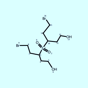 O=S(=O)(C(CCO)CCBr)C(CCO)CCBr